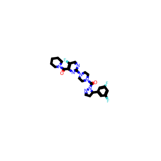 O=C(c1nc(N2CCN(C(=O)N3N=CCC3c3cc(F)cc(F)c3)CC2)ncc1F)N1CCCCC1